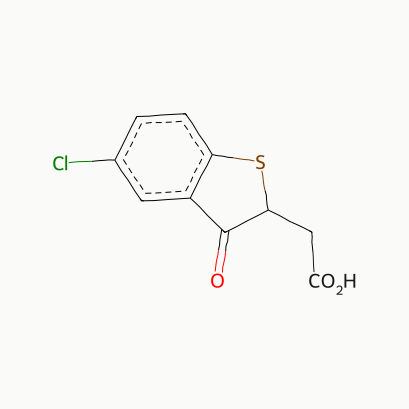 O=C(O)CC1Sc2ccc(Cl)cc2C1=O